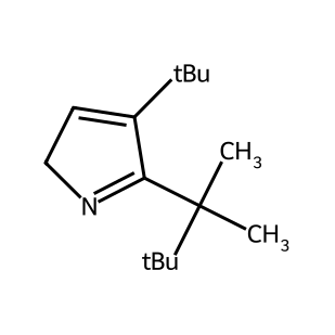 CC(C)(C)C1=CCN=C1C(C)(C)C(C)(C)C